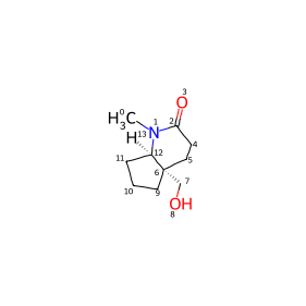 CN1C(=O)CC[C@@]2(CO)CCC[C@@H]12